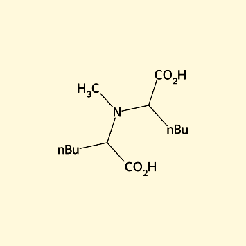 CCCCC(C(=O)O)N(C)C(CCCC)C(=O)O